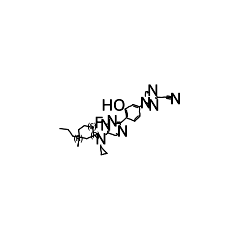 CCC[C@]1(C)CC[C@H](F)[C@H](N(c2cnc(-c3ccc(-n4cnc(C#N)n4)cc3O)nn2)C2CC2)C1